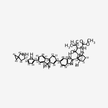 COC(=O)N[C@@H](C(=O)N1[C@@H]2CC[C@@H](C2)[C@H]1c1nc2ccc(-c3ccc4c(c3)C(F)(F)c3cc(-c5ccc([C@@H]6CC7(CC7)CN6)[nH]5)ccc3-4)cc2[nH]1)C(C)C